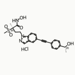 C[C@@H](O)c1ccc(C#Cc2ccc3c(cnn3CC[C@](C)(C(=O)NO)S(C)(=O)=O)c2)cc1.Cl